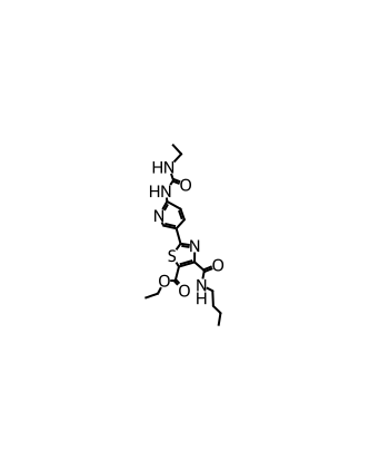 CCCCNC(=O)c1nc(-c2ccc(NC(=O)NCC)nc2)sc1C(=O)OCC